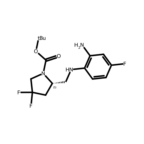 CC(C)(C)OC(=O)N1CC(F)(F)C[C@H]1CNc1ccc(F)cc1N